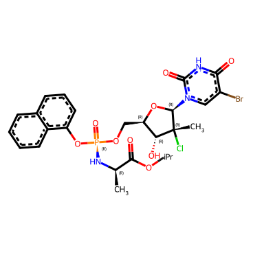 CC(C)OC(=O)[C@@H](C)N[P@@](=O)(OC[C@H]1O[C@@H](n2cc(Br)c(=O)[nH]c2=O)[C@](C)(Cl)[C@@H]1O)Oc1cccc2ccccc12